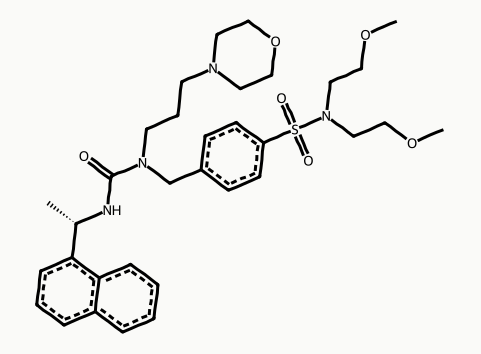 COCCN(CCOC)S(=O)(=O)c1ccc(CN(CCCN2CCOCC2)C(=O)N[C@@H](C)c2cccc3ccccc23)cc1